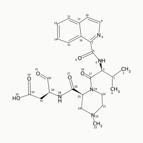 CC(C)[C@H](NC(=O)c1nccc2ccccc12)C(=O)N1CCN(C)C[C@H]1C(=O)N[C@H](C=O)CC(=O)O